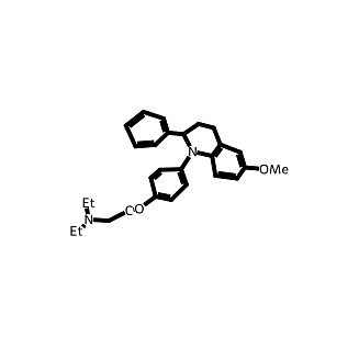 CCN(CC)CCOc1ccc(N2c3ccc(OC)cc3CCC2c2ccccc2)cc1